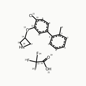 Cc1ccccc1-c1ccc(Cl)c(OC2CNC2)c1.O=C(O)C(F)(F)F